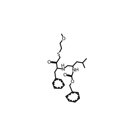 COCCSCC(=O)C(Cc1ccccc1)NCC(CC(C)C)NC(=O)OCc1ccccc1